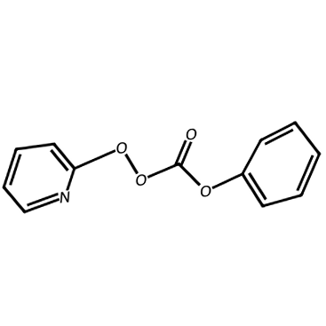 O=C(OOc1ccccn1)Oc1ccccc1